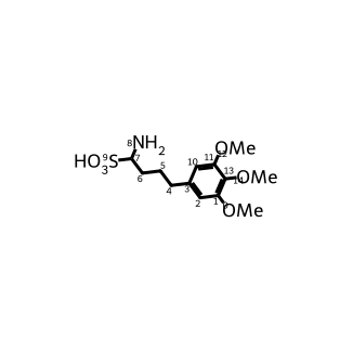 COc1cc(CCCC(N)S(=O)(=O)O)cc(OC)c1OC